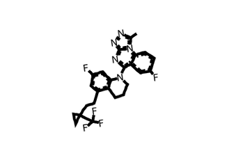 Cc1nnc2nc(N3CCCc4c(CCC5(C(F)(F)F)CC5)cc(F)cc43)c3cc(F)ccc3n12